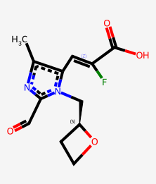 Cc1nc(C=O)n(C[C@@H]2CCO2)c1/C=C(\F)C(=O)O